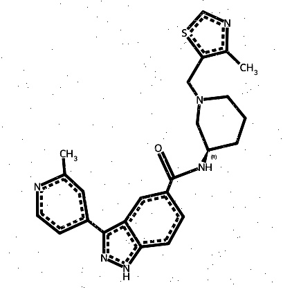 Cc1cc(-c2n[nH]c3ccc(C(=O)N[C@@H]4CCCN(Cc5scnc5C)C4)cc23)ccn1